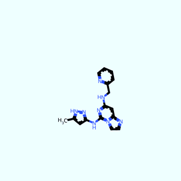 Cc1cc(Nc2nc(NCc3ccccn3)cc3nccn23)n[nH]1